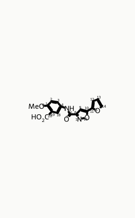 COc1ccc(NC(=O)c2cc(-c3ccco3)on2)cc1C(=O)O